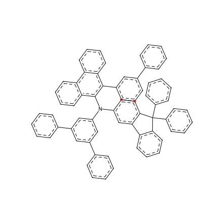 c1ccc(-c2cccc(-c3c(N(c4cc(-c5ccccc5)cc(-c5ccccc5)c4)c4ccc5c(c4)-c4ccccc4C5(c4ccccc4)c4ccccc4)c4ccccc4c4ccccc34)c2)cc1